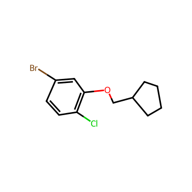 Clc1ccc(Br)cc1OCC1CCCC1